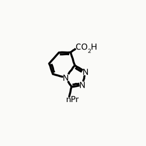 CCCc1nnc2c(C(=O)O)cccn12